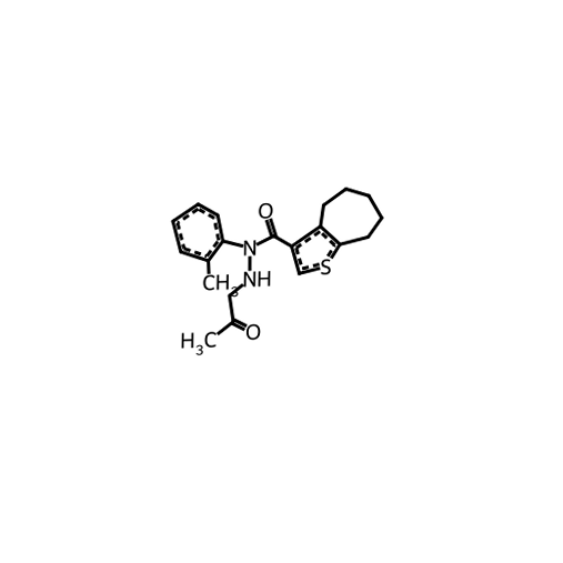 CC(=O)CNN(C(=O)c1csc2c1CCCCC2)c1ccccc1C